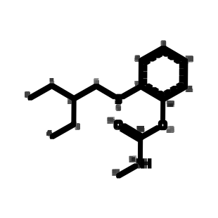 CCC(CC)CSc1ccccc1OC(=O)NC